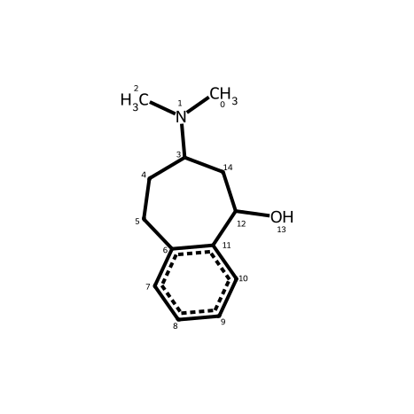 CN(C)C1CCc2ccccc2C(O)C1